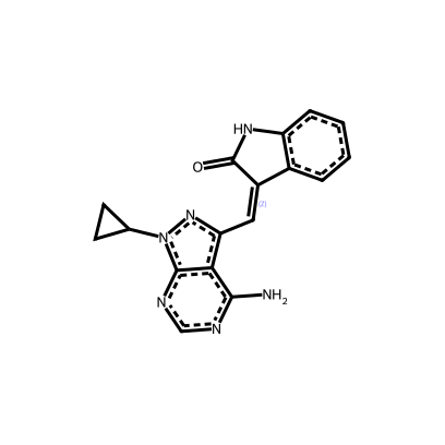 Nc1ncnc2c1c(/C=C1\C(=O)Nc3ccccc31)nn2C1CC1